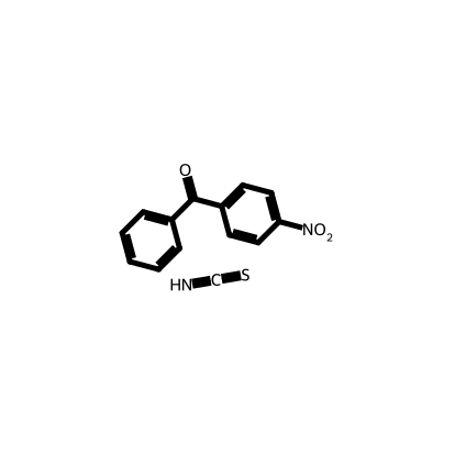 N=C=S.O=C(c1ccccc1)c1ccc([N+](=O)[O-])cc1